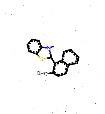 CN1c2ccccc2SC1c1c(C=O)ccc2ccccc12